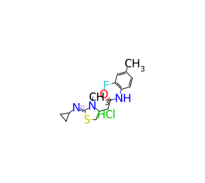 Cc1ccc(NC(=O)CC2CS/C(=N\C3CC3)N2C)c(F)c1.Cl